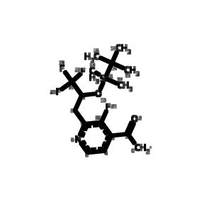 [CH2]C(=O)c1ccnc(CC(O[Si](C)(C)C(C)(C)C)C(F)(F)F)c1F